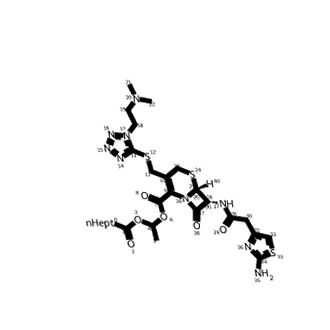 CCCCCCCC(=O)OC(C)OC(=O)C1=C(CSc2nnnn2CCN(C)C)CS[C@@H]2[C@H](NC(=O)Cc3csc(N)n3)C(=O)N12